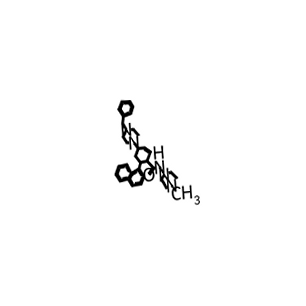 CN1CCN(NC(=O)C2C=CC(N3CCN(Cc4ccccc4)CC3)CC2c2cccc3ccccc23)CC1